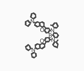 Cc1ccccc1N1c2cc3c(cc2B2c4cc5oc6c7ccc(N(c8ccccc8)c8ccccc8)cc7ccc6c5cc4N(c4ccccc4C)c4cccc1c42)oc1c2ccc(N(c4ccccc4)c4ccccc4)cc2ccc31